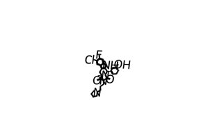 C[C@@]12Cc3c([nH]c4cc(F)c(Cl)cc34)[C@@H](C3=CCCC(O)=C3)N1C(=O)N(CCCN1CCCC1)C2=O